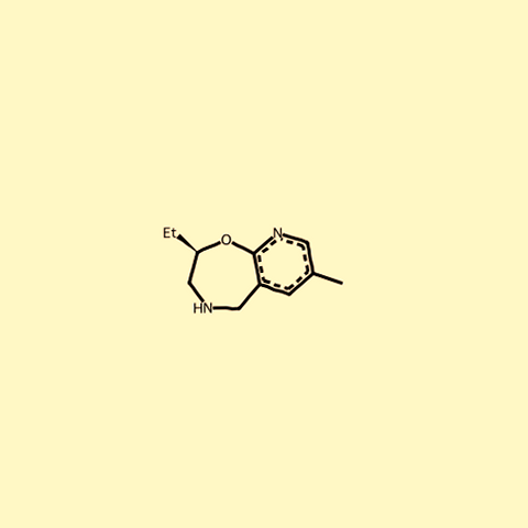 CC[C@@H]1CNCc2cc(C)cnc2O1